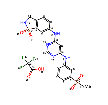 CNS(=O)(=O)c1cccc(Nc2cc(Nc3ccc4c(c3)S(=O)(=O)NC4)ncn2)c1.O=C(O)C(F)(F)F